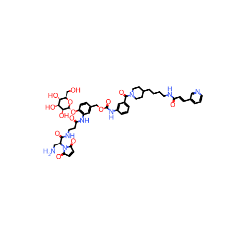 NC[C@@H](C(=O)NCCC(=O)Nc1cc(COC(=O)Nc2cccc(C(=O)N3CCC(CCCCNC(=O)/C=C/c4cccnc4)CC3)c2)ccc1O[C@H]1O[C@H](CO)[C@@H](O)[C@H](O)[C@@H]1O)N1C(=O)C=CC1=O